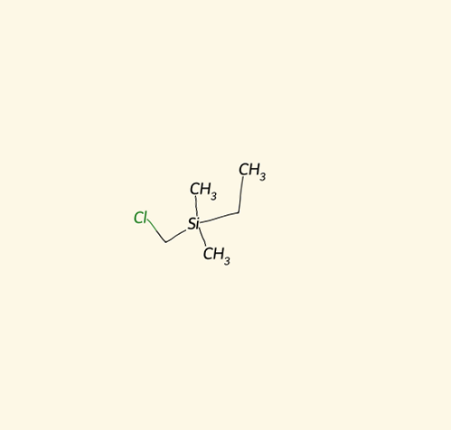 CC[Si](C)(C)CCl